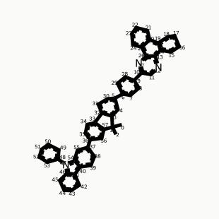 CC1(C)c2cc(-c3ccc(-c4cnc5c6ccccc6c6ccccc6c5n4)cc3)ccc2-c2ccc(-c3ccc4c5ccccc5n(-c5ccccc5)c4c3)cc21